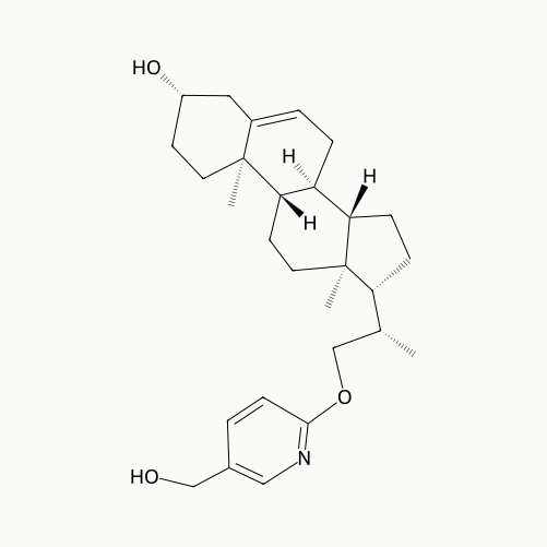 C[C@H](COc1ccc(CO)cn1)[C@H]1CC[C@H]2[C@@H]3CC=C4C[C@@H](O)CC[C@]4(C)[C@H]3CC[C@]12C